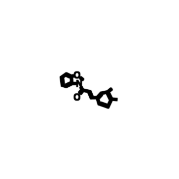 Cc1ccc(/C=C/C(=O)N2COc3ccccc32)cc1C